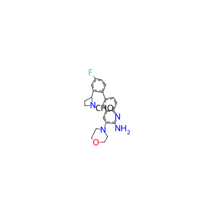 Nc1nc2ccc(-c3ccc(F)cc3C3CCN3C=O)cc2cc1N1CCOCC1